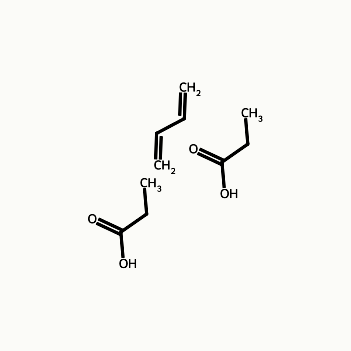 C=CC=C.CCC(=O)O.CCC(=O)O